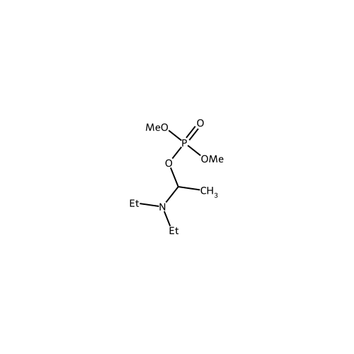 CCN(CC)C(C)OP(=O)(OC)OC